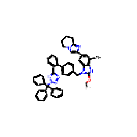 CCOc1nc2c(C)cc(-c3cn4c(n3)CCCC4)cc2n1Cc1ccc(-c2ccccc2-c2nnn(C(c3ccccc3)(c3ccccc3)c3ccccc3)n2)cc1